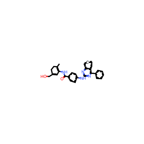 CC1=C(NC(=O)c2ccc(Nc3nc(-c4ccccc4)c4ccccc4n3)cc2)C=C(CO)CC1